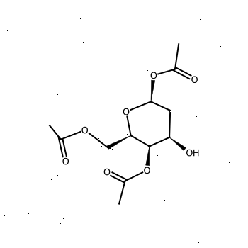 CC(=O)OC[C@H]1O[C@@H](OC(C)=O)C[C@@H](O)[C@H]1OC(C)=O